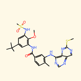 COc1c(NC(=O)c2ccc(C)c(Nc3ncnc4cnc(SC)nc34)c2)cc(C(C)(C)C)cc1NS(C)(=O)=O